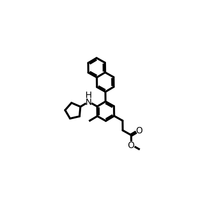 COC(=O)CCc1cc(C)c(NC2CCCC2)c(-c2ccc3ccccc3c2)c1